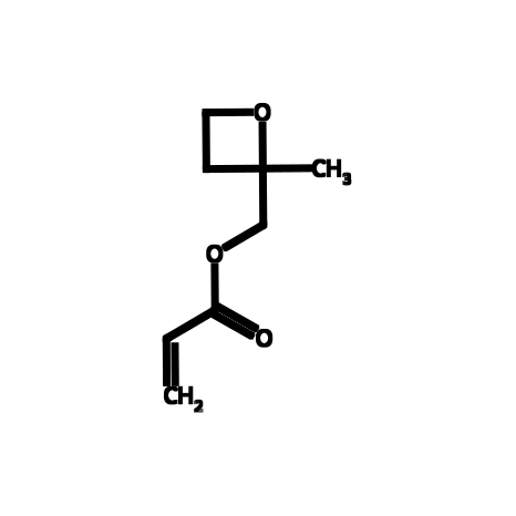 C=CC(=O)OCC1(C)CCO1